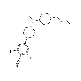 CCCCC1CCC(C(C)[C@H]2CC[C@H](c3cc(F)c(C#N)c(F)c3)CC2)CC1